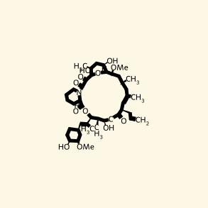 C=CC[C@@H]1/C=C(\C)C[C@H](C)C[C@H](OC)[C@H]2O[C@@](O)(C(=O)C(=O)N3CCCC[C@H]3C(=O)O[C@H](/C(C)=C/[C@@H]3CC[C@@H](O)[C@H](OC)C3)[C@H](C)[C@@H](O)CC1=O)[C@H](C)C[C@@H]2O